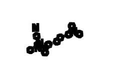 N#Cc1ccc(-c2cc(-c3ccccc3)nc(-n3c4ccccc4c4cc(-c5ccc6cc(-c7ccc8c(c7)c7ccccc7n8-c7ccccc7)ccc6c5)ccc43)n2)cc1